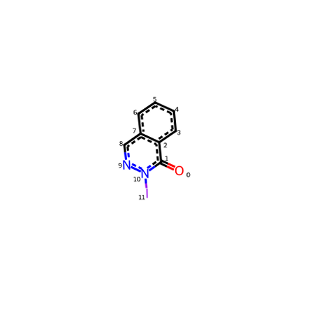 O=c1c2ccccc2cnn1I